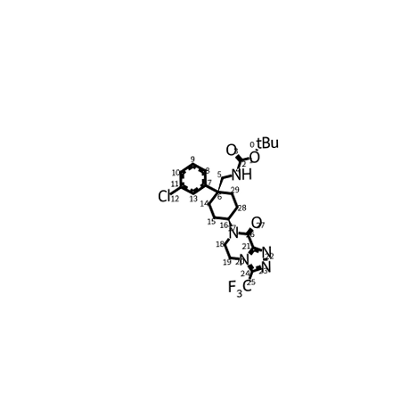 CC(C)(C)OC(=O)NC[C@]1(c2cccc(Cl)c2)CC[C@H](N2CCn3c(nnc3C(F)(F)F)C2=O)CC1